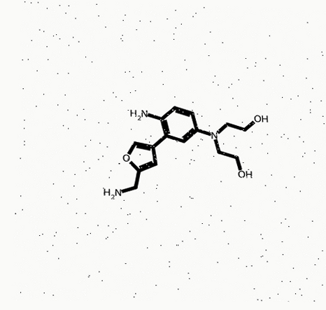 NCc1cc(-c2cc(N(CCO)CCO)ccc2N)co1